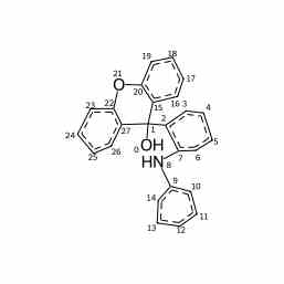 OC1(c2ccccc2Nc2ccccc2)c2ccccc2Oc2ccccc21